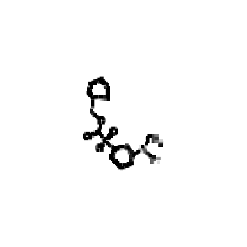 CCN(C)c1cccc(S(=O)(=O)C(=O)OCc2ccccc2)c1